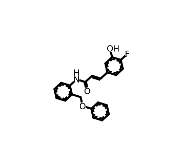 O=C(/C=C/c1ccc(F)c(O)c1)Nc1ccccc1COc1ccccc1